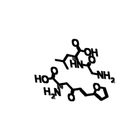 CC(C)C[C@H](NC(=O)CN)C(=O)O.N[C@@H](CC(=O)C=Cc1ccco1)C(=O)O